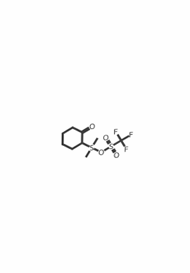 CS(C)(OS(=O)(=O)C(F)(F)F)C1CCCCC1=O